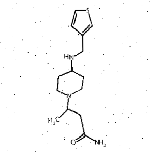 CC(CC(N)=O)N1CCC(NCc2ccsc2)CC1